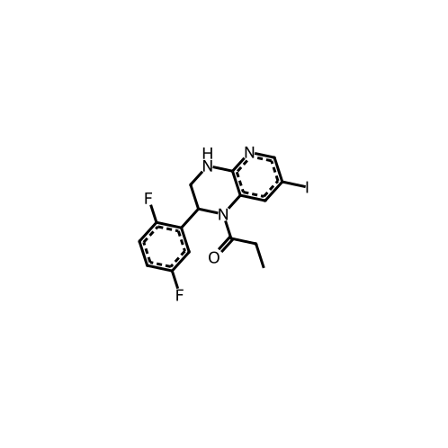 CCC(=O)N1c2cc(I)cnc2NCC1c1cc(F)ccc1F